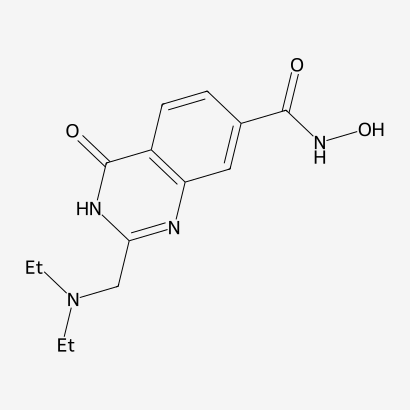 CCN(CC)Cc1nc2cc(C(=O)NO)ccc2c(=O)[nH]1